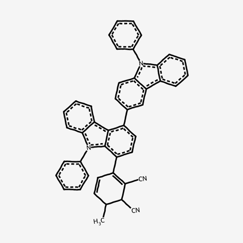 CC1C=CC(c2ccc(-c3ccc4c(c3)c3ccccc3n4-c3ccccc3)c3c4ccccc4n(-c4ccccc4)c23)=C(C#N)C1C#N